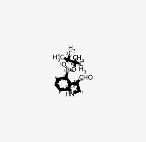 CC1(C)OB(c2cccc3[nH]cc(C=O)c23)OC1(C)C